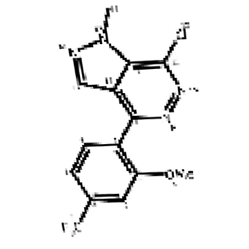 COc1cc(C(F)(F)F)ccc1-c1nnc(Cl)c2c1cnn2C